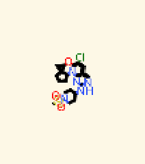 CS(=O)(=O)N1CCC(Nc2ncc3cc(Cl)c(=O)n(C4CCCC45CC5)c3n2)CC1